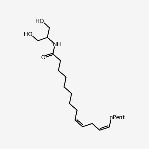 CCCCC/C=C\C/C=C\CCCCCCCC(=O)NC(CO)CO